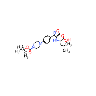 CC(C)C[C@H](Nc1conc1-c1ccc(N2CCN(C(=O)OC(C)(C)C)CC2)cc1)C(=O)O